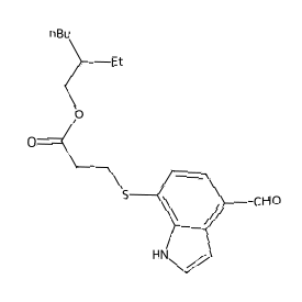 CCCCC(CC)COC(=O)CCSc1ccc(C=O)c2cc[nH]c12